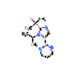 CC(C)n1c(-c2ncccn2)cnc1C(C)(C)I